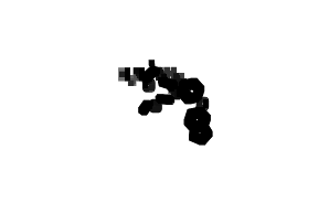 CCOCCn1c(CN[C@@H](C)C(N)=O)nc2c1=CC(Oc1ccc3c(c1)CCC3)CC=2